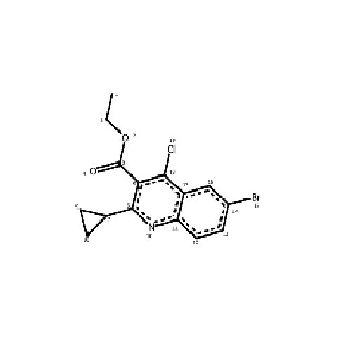 CCOC(=O)c1c(C2CC2)nc2ccc(Br)cc2c1Cl